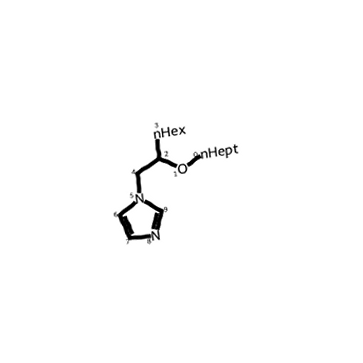 CCCCCCCOC(CCCCCC)Cn1ccnc1